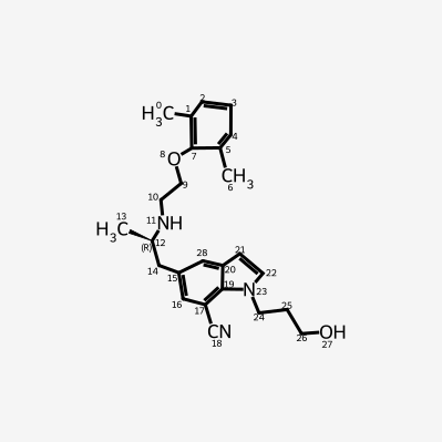 Cc1cccc(C)c1OCCN[C@H](C)Cc1cc(C#N)c2c(ccn2CCCO)c1